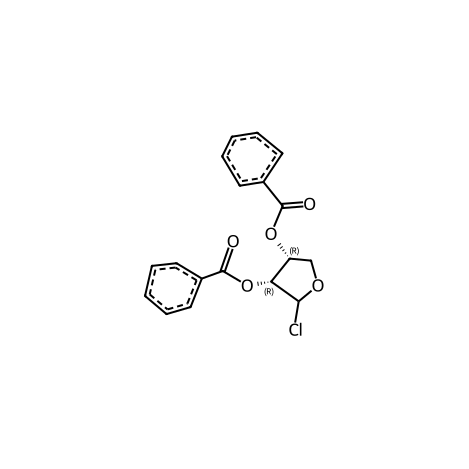 O=C(O[C@@H]1COC(Cl)[C@@H]1OC(=O)c1ccccc1)c1ccccc1